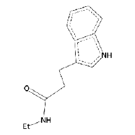 CCNC(=O)CCc1c[nH]c2ccccc12